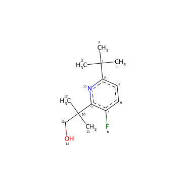 CC(C)(C)c1ccc(F)c(C(C)(C)CO)n1